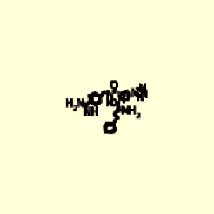 N=C(N)c1ccc(CNC(=O)[C@@H]2C[C@H](n3cnnn3)CN2C(=O)[C@H](N)CCc2ccccc2)cc1